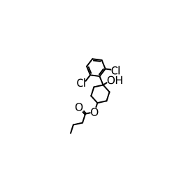 CCCC(=O)OC1CCC(O)(c2c(Cl)cccc2Cl)CC1